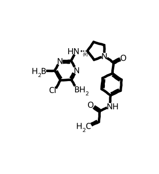 Bc1nc(N[C@@H]2CCN(C(=O)c3ccc(NC(=O)C=C)cc3)C2)nc(B)c1Cl